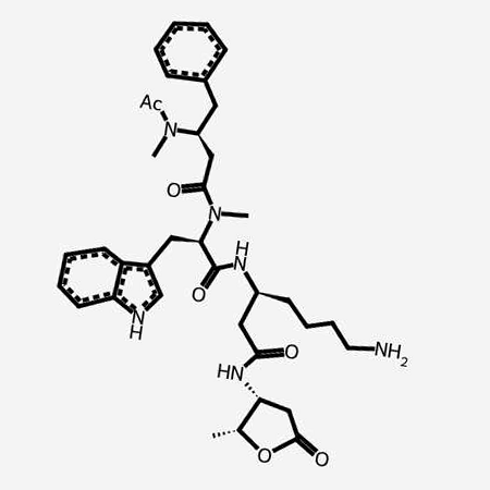 CC(=O)N(C)[C@H](CC(=O)N(C)[C@H](Cc1c[nH]c2ccccc12)C(=O)N[C@@H](CCCCN)CC(=O)N[C@@H]1CC(=O)O[C@@H]1C)Cc1ccccc1